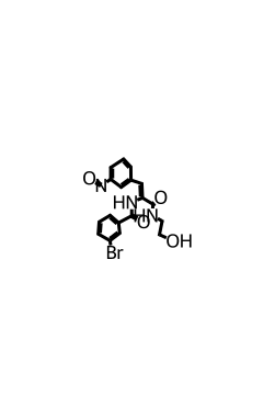 O=Nc1cccc(/C=C(\NC(=O)c2cccc(Br)c2)C(=O)NCCO)c1